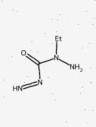 CCN(N)C(=O)N=N